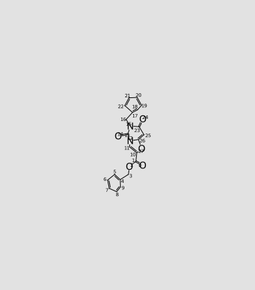 O=C(OCc1ccccc1)c1cn2c(=O)n(Cc3ccccc3)c(=O)cc2o1